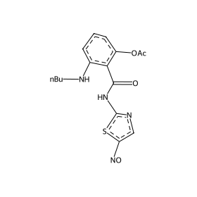 CCCCNc1cccc(OC(C)=O)c1C(=O)Nc1ncc(N=O)s1